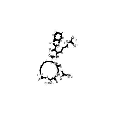 CC(=O)N[C@H]1CC(=O)NCCCC[C@@H](C(=O)NC(CCCNC(=N)N)C(=O)c2nc3ccccc3s2)NC(=O)[C@H](CC(N)=O)NC1=O